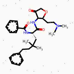 CN(C)CCC1OCC(=O)C1NC(=O)[C@H](CC(C)(C)CCc1ccccc1)NC(=O)c1ccccc1